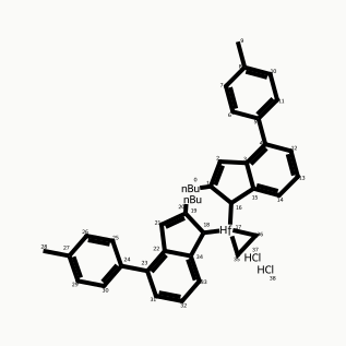 CCCCC1=Cc2c(-c3ccc(C)cc3)cccc2[CH]1[Hf]1([CH]2C(CCCC)=Cc3c(-c4ccc(C)cc4)cccc32)[CH2][CH2]1.Cl.Cl